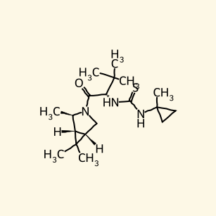 C[C@@H]1[C@@H]2[C@H](CN1C(=O)[C@@H](NC(=S)NC1(C)CC1)C(C)(C)C)C2(C)C